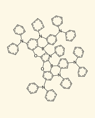 c1ccc(N(c2ccccc2)c2ccc3c(c2)N(c2ccccc2)c2cc(N(c4ccccc4)c4ccccc4)cc4c2B3c2c(c3c(n2-c2ccccc2)B2c5ccc(N(c6ccccc6)c6ccccc6)cc5N(c5ccccc5)c5cc(N(c6ccccc6)c6ccccc6)cc(c52)O3)O4)cc1